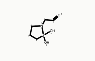 O=CCN1CCCS1(O)O